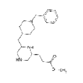 COC(=O)CCC1CNCC(CC2CCN(Cc3ccccc3)CC2)N1